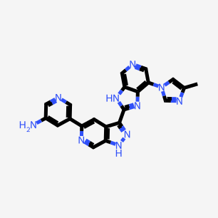 Cc1cn(-c2cncc3[nH]c(-c4n[nH]c5cnc(-c6cncc(N)c6)cc45)nc23)cn1